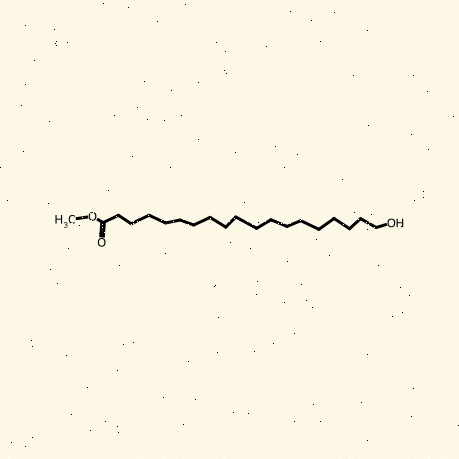 COC(=O)CCCCCCCCCCCCCCCCCCO